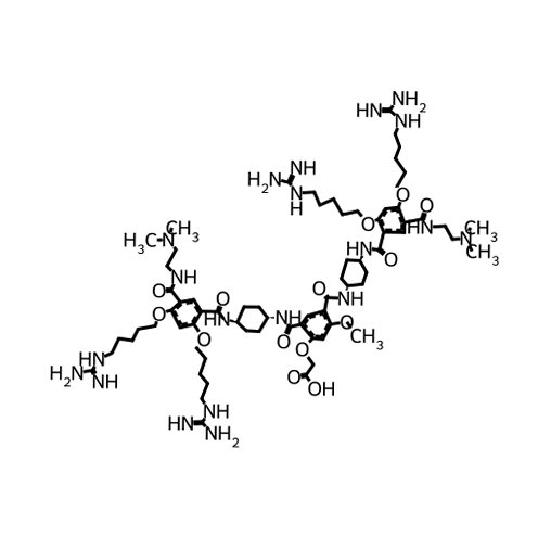 COc1cc(OCC(=O)O)c(C(=O)N[C@H]2CC[C@H](NC(=O)c3cc(C(=O)NCCN(C)C)c(OCCCCCNC(=N)N)cc3OCCCCCNC(=N)N)CC2)cc1C(=O)N[C@H]1CC[C@H](NC(=O)c2cc(C(=O)NCCN(C)C)c(OCCCCCNC(=N)N)cc2OCCCCCNC(=N)N)CC1